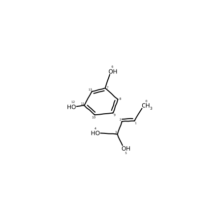 CC=CC(O)O.Oc1cccc(O)c1